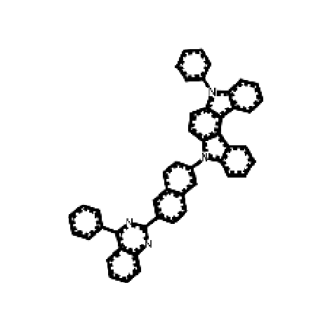 c1ccc(-c2nc(-c3ccc4cc(-n5c6ccccc6c6c7c8ccccc8n(-c8ccccc8)c7ccc65)ccc4c3)nc3ccccc23)cc1